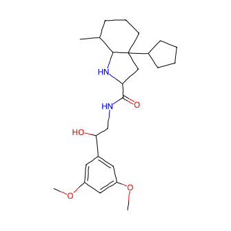 COc1cc(OC)cc(C(O)CNC(=O)C2CC3(C4CCCC4)CCCC(C)C3N2)c1